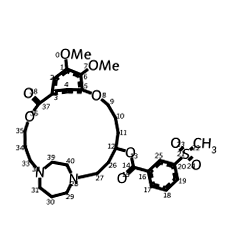 COc1cc2cc(c1OC)OCCCC(OC(=O)c1cccc(S(C)(=O)=O)c1)CCN1CCCN(CCCOC2=O)CC1